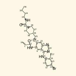 C=CC(=O)Nc1cc2c(Nc3ccc(Br)cc3F)ncnc2cc1OCC1CCN(C(=O)NCCCC)CC1